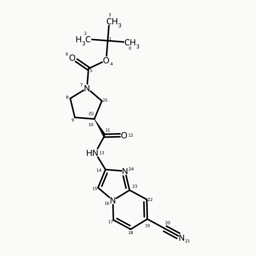 CC(C)(C)OC(=O)N1CC[C@H](C(=O)Nc2cn3ccc(C#N)cc3n2)C1